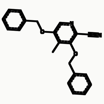 Cc1c(OCc2ccccc2)cnc(C#N)c1OCc1ccccc1